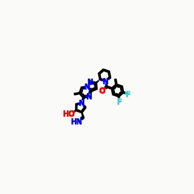 Cc1cc(F)c(F)cc1C(=O)N1CCCC[C@H]1c1cc2nc(N3C[C@@H](C=N)[C@@H](O)C3)c(C)cn2n1